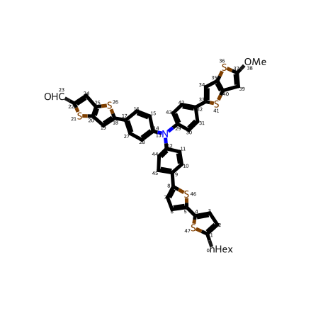 CCCCCCc1ccc(-c2ccc(-c3ccc(N(c4ccc(-c5cc6sc(C=O)cc6s5)cc4)c4ccc(-c5cc6sc(OC)cc6s5)cc4)cc3)s2)s1